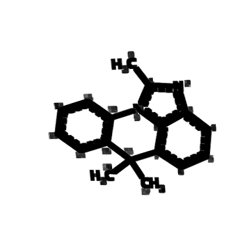 Cc1nc2cccc3c2n1-c1ccccc1C3(C)C